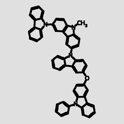 Cn1c2ccc(-n3c4ccccc4c4ccccc43)cc2c2cc(-n3c4ccccc4c4cc(Oc5ccc6c(c5)c5ccccc5n6-c5ccccc5)ccc43)ccc21